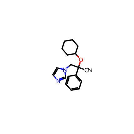 N#CC(Cn1ccnc1)(OC1CCCCC1)c1ccccc1